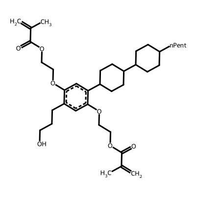 C=C(C)C(=O)OCCOc1cc(C2CCC(C3CCC(CCCCC)CC3)CC2)c(OCCOC(=O)C(=C)C)cc1CCCO